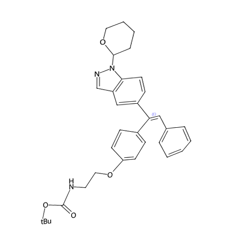 CC(C)(C)OC(=O)NCCOc1ccc(/C(=C\c2ccccc2)c2ccc3c(cnn3C3CCCCO3)c2)cc1